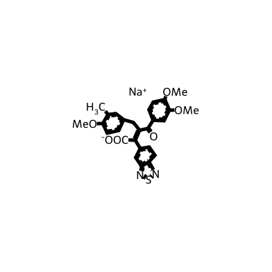 COc1ccc(C/C(C(=O)c2ccc(OC)c(OC)c2)=C(\C(=O)[O-])c2ccc3nsnc3c2)cc1C.[Na+]